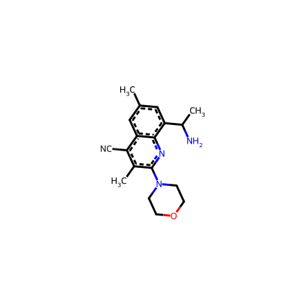 Cc1cc(C(C)N)c2nc(N3CCOCC3)c(C)c(C#N)c2c1